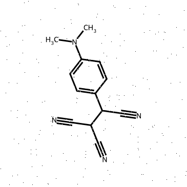 CN(C)c1ccc(C(C#N)C(C#N)C#N)cc1